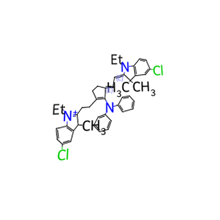 CCN1/C(=C/C=C2\CCC(CCC3=[N+](CC)c4ccc(Cl)cc4C3C)=C2N(c2ccccc2)c2ccccc2)C(C)(C)c2cc(Cl)ccc21